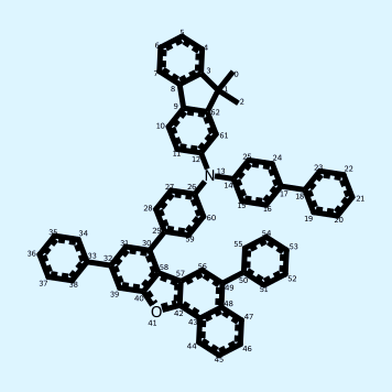 CC1(C)c2ccccc2-c2ccc(N(c3ccc(-c4ccccc4)cc3)c3ccc(-c4cc(-c5ccccc5)cc5oc6c7ccccc7c(-c7ccccc7)cc6c45)cc3)cc21